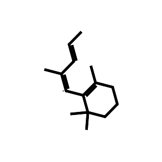 C/C=C/C(C)=[C]\C1=C(C)CCCC1(C)C